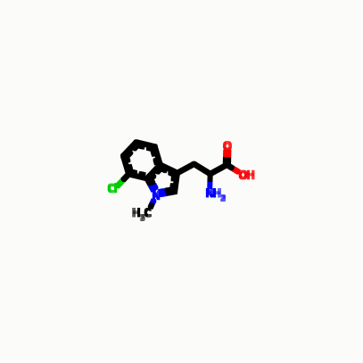 Cn1cc(CC(N)C(=O)O)c2cccc(Cl)c21